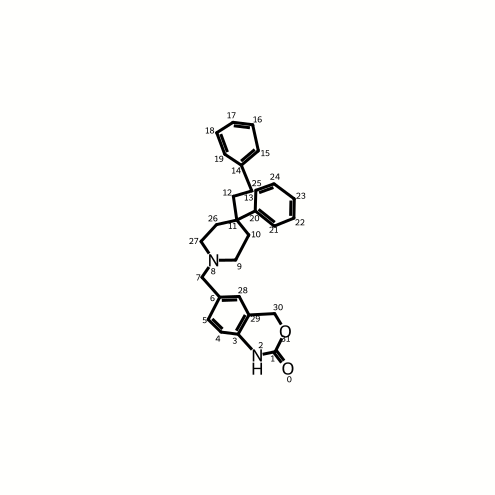 O=C1Nc2ccc(CN3CCC(CCc4ccccc4)(c4ccccc4)CC3)cc2CO1